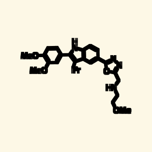 COCCNCc1nnc(-c2ccc3[nH]c(-c4ccc(OC)c(OC)c4)c(C(C)C)c3c2)o1